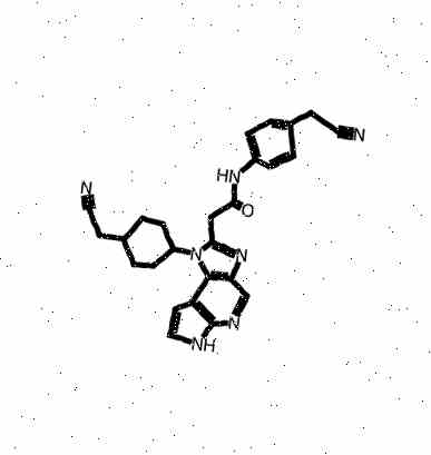 N#CCc1ccc(NC(=O)Cc2nc3cnc4[nH]ccc4c3n2C2CCC(CC#N)CC2)cc1